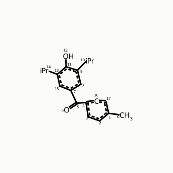 Cc1ccc(C(=O)c2cc(C(C)C)c(O)c(C(C)C)c2)cc1